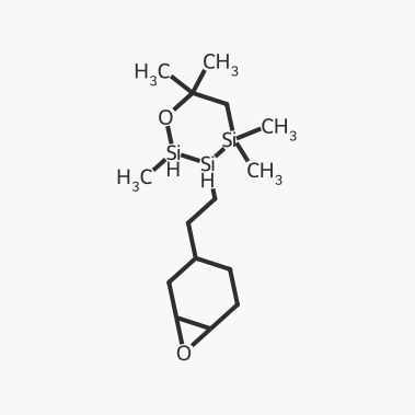 C[SiH]1OC(C)(C)C[Si](C)(C)[SiH]1CCC1CCC2OC2C1